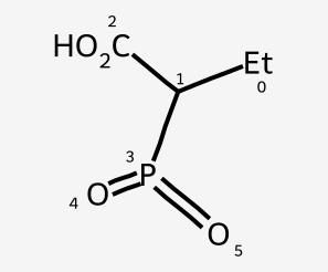 CCC(C(=O)O)P(=O)=O